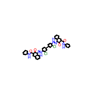 O=C(Nc1ccccc1)C1=Cc2ccccc2/C(=N\Nc2ccc(-c3ccc(N/N=C4/C(=O)C(C(=O)Nc5ccccc5)=Cc5ccccc54)c(Cl)c3)cc2Cl)C1=O